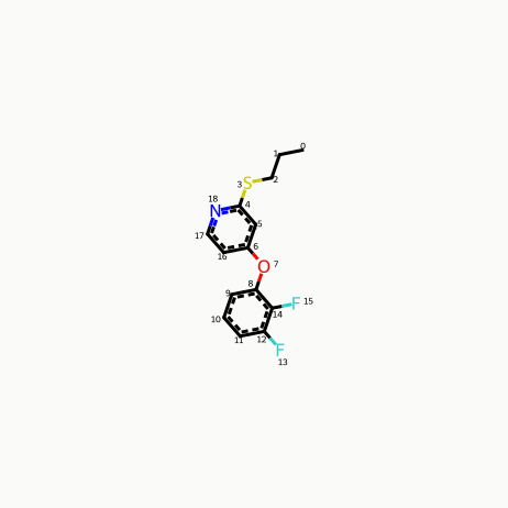 CCCSc1[c]c(Oc2cccc(F)c2F)ccn1